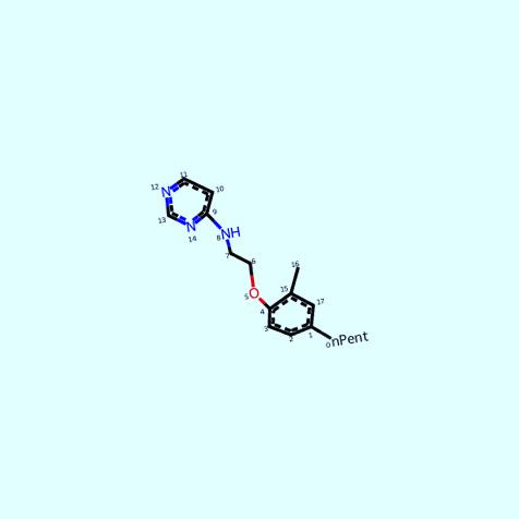 CCCCCc1ccc(OCCNc2ccncn2)c(C)c1